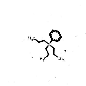 CCC[N+](CCC)(CCC)c1ccccc1.[F-]